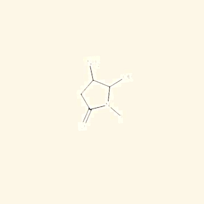 NC1CC(=O)N(I)C1O